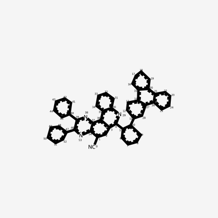 N#Cc1cc2c(-c3ccccc3-c3ccc4c5ccccc5c5ccccc5c4c3)nc3ccccc3c2c2nc(-c3ccccc3)c(-c3ccccc3)nc12